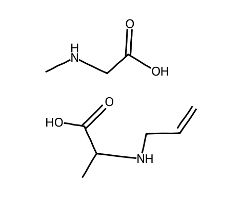 C=CCNC(C)C(=O)O.CNCC(=O)O